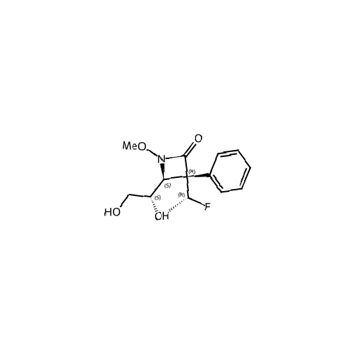 CON1C(=O)[C@](c2ccccc2)([C@@H](C)F)[C@H]1[C@H](O)CO